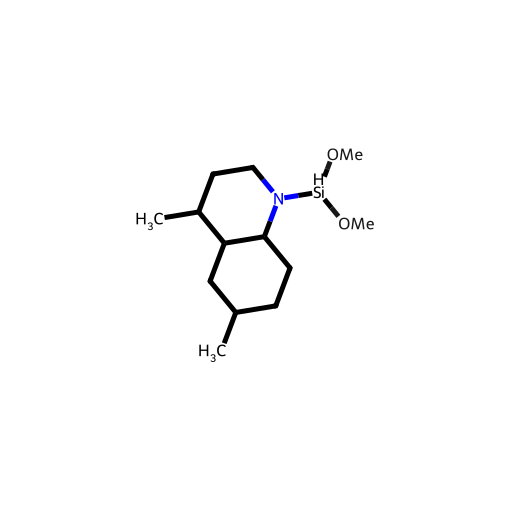 CO[SiH](OC)N1CCC(C)C2CC(C)CCC21